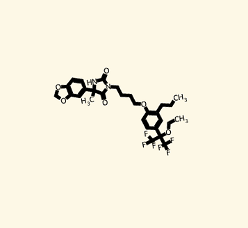 CCCc1cc(C(OCC)(C(F)(F)F)C(F)(F)F)ccc1OCCCCN1C(=O)NC(C)(c2ccc3c(c2)OCO3)C1=O